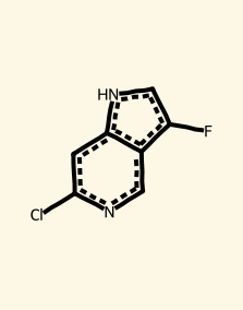 Fc1c[nH]c2cc(Cl)ncc12